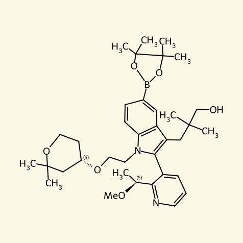 CO[C@@H](C)c1ncccc1-c1c(CC(C)(C)CO)c2cc(B3OC(C)(C)C(C)(C)O3)ccc2n1CCO[C@H]1CCOC(C)(C)C1